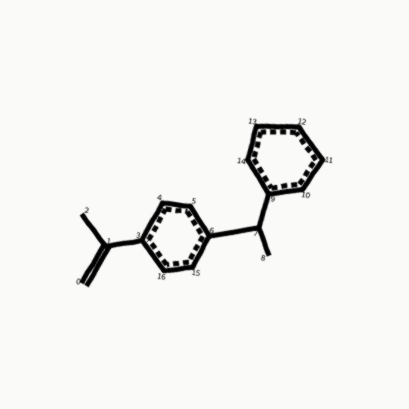 C=C(C)c1ccc(C(C)c2ccccc2)cc1